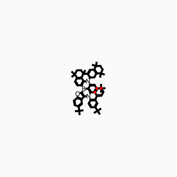 CC1(C)CCC(C)(C)C2=C1C=C1C(C2)N2c3cc(C(C)(C)C)cc4c3B(c3ccc5c(c32)C1(C)CCC5(C)C)c1oc2ccc(C(C)(C)C)cc2c1N4c1ccc(C(C)(C)C)cc1-c1ccccc1